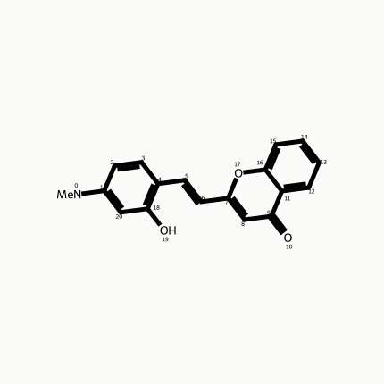 CNc1ccc(C=Cc2cc(=O)c3ccccc3o2)c(O)c1